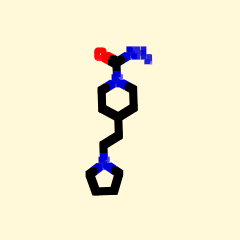 NC(=O)N1CCC(CCN2CCCC2)CC1